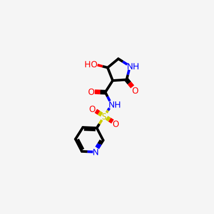 O=C1NCC(O)C1C(=O)NS(=O)(=O)c1cccnc1